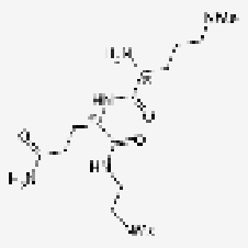 CNCCC[C@@H](N)C(=O)N[C@H](CCC(N)=O)C(=O)NCCNC